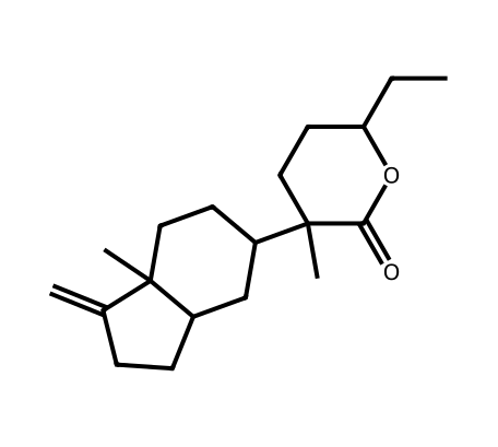 C=C1CCC2CC(C3(C)CCC(CC)OC3=O)CCC12C